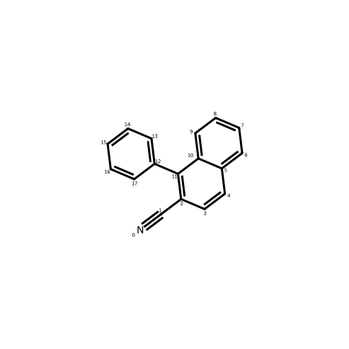 N#Cc1ccc2ccccc2c1-c1ccccc1